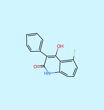 O=c1[nH]c2cccc(F)c2c(O)c1-c1ccccc1